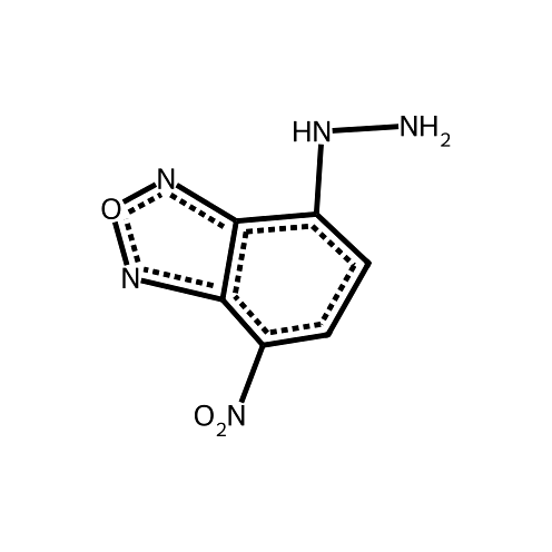 NNc1ccc([N+](=O)[O-])c2nonc12